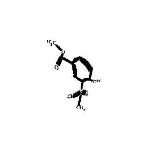 COC(=O)c1ccc(O)c(S(C)(=O)=O)c1